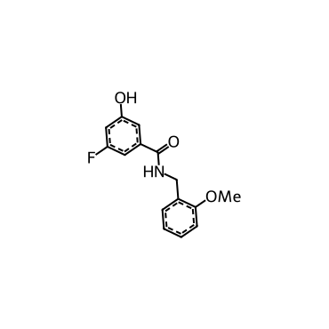 COc1ccccc1CNC(=O)c1cc(O)cc(F)c1